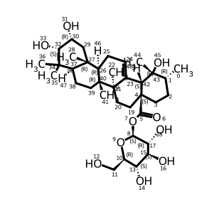 C[C@@H]1CC[C@]2(C(=O)O[C@@H]3O[C@H](CO)[C@@H](O)[C@H](O)[C@H]3O)CC[C@]3(C)C(=CC[C@@H]4[C@@]5(C)C[C@@H](O)[C@@H](O)C(C)(C)[C@@H]5CC[C@]43C)[C@@H]2[C@]1(C)O